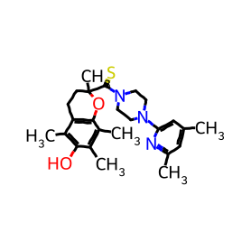 Cc1cc(C)nc(N2CCN(C(=S)C3(C)CCc4c(C)c(O)c(C)c(C)c4O3)CC2)c1